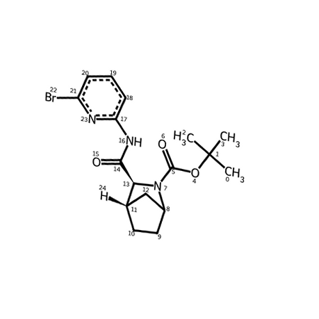 CC(C)(C)OC(=O)N1C2CC[C@@H](C2)[C@H]1C(=O)Nc1cccc(Br)n1